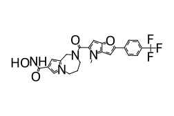 Cn1c(C(=O)N2CCCn3cc(C(=O)NO)cc3C2)cc2oc(-c3ccc(C(F)(F)F)cc3)cc21